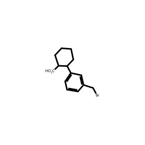 O=C(O)C1CCCCC1c1cccc(CBr)c1